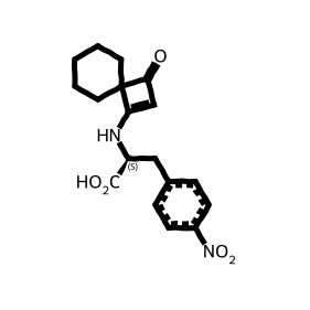 O=C(O)[C@H](Cc1ccc([N+](=O)[O-])cc1)NC1=CC(=O)C12CCCCC2